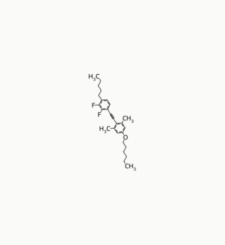 CCCCCCOc1cc(C)c(C#Cc2ccc(CCCCC)c(F)c2F)c(C)c1